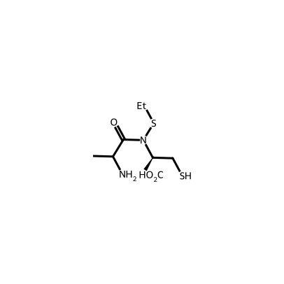 CCSN(C(=O)C(C)N)[C@@H](CS)C(=O)O